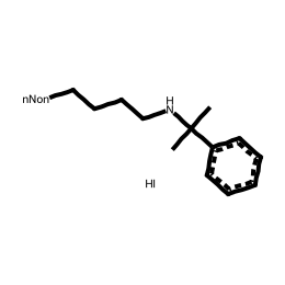 CCCCCCCCCCCCCNC(C)(C)c1ccccc1.I